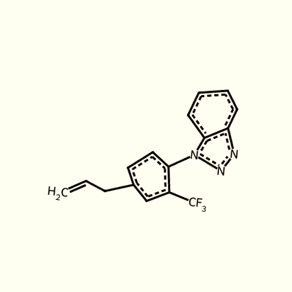 C=CCc1ccc(-n2nnc3ccccc32)c(C(F)(F)F)c1